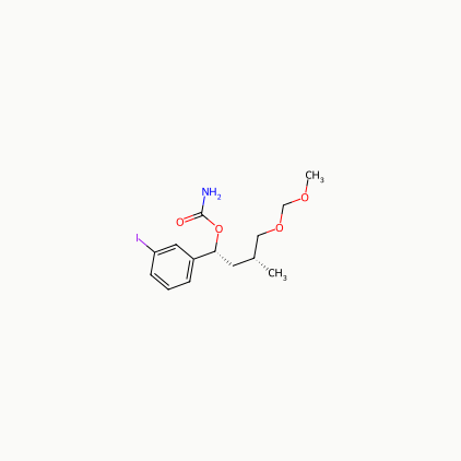 COCOC[C@H](C)C[C@@H](OC(N)=O)c1cccc(I)c1